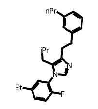 CCCc1cccc(CCc2ncn(-c3cc(CC)ccc3F)c2CC(C)C)c1